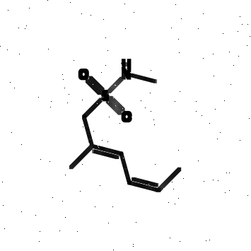 C/C=C\C=C(/C)CS(=O)(=O)NC